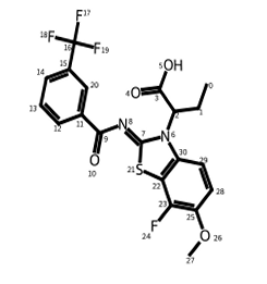 CCC(C(=O)O)n1c(=NC(=O)c2cccc(C(F)(F)F)c2)sc2c(F)c(OC)ccc21